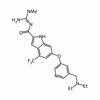 CCN(CC)Cc1cncc(Oc2cc(C(F)(F)F)c3cc(C(=O)N=C(N)NC)[nH]c3c2)c1